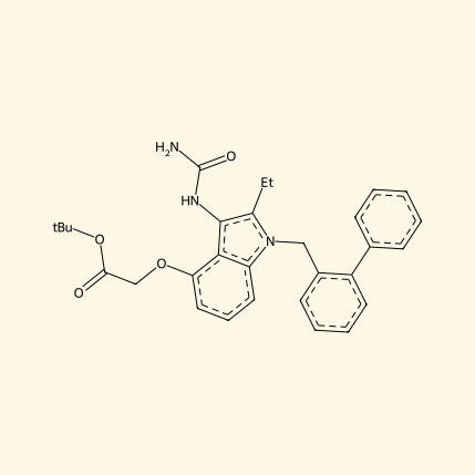 CCc1c(NC(N)=O)c2c(OCC(=O)OC(C)(C)C)cccc2n1Cc1ccccc1-c1ccccc1